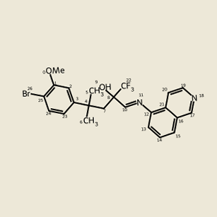 COc1cc(C(C)(C)CC(O)(C=Nc2cccc3cnccc23)C(F)(F)F)ccc1Br